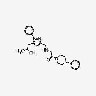 CC(C)Cc1cc(CNCC(=O)N2CCN(c3ccccc3)CC2)nn1-c1ccccc1